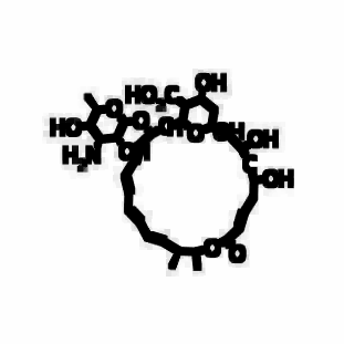 CC1OC(=O)/C=C/CC(O)CC(O)CC2(O)C[C@H](O)C(C(=O)O)[C@H](CC(OC3O[C@H](C)C(O)[C@H](N)[C@@H]3O)/C=C/C=C/C=C/C=C/[C@@H]1C)O2